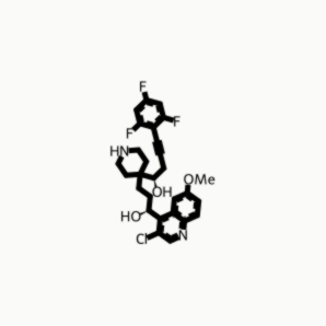 COc1ccc2ncc(Cl)c([C@H](O)CCC3([C@@H](O)CC#Cc4c(F)cc(F)cc4F)CCNCC3)c2c1